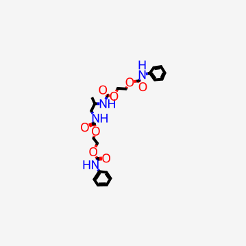 CC(CNC(=O)OCCOC(=O)Nc1ccccc1)NC(=O)OCCOC(=O)Nc1ccccc1